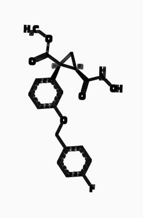 COC(=O)[C@]1(c2cccc(OCc3ccc(F)cc3)c2)C[C@H]1C(=O)NO